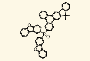 CC1(C)c2ccccc2-c2cc3c4ccccc4c4cc(P(=O)(c5ccc6oc7ccccc7c6c5)c5ccc6oc7ccccc7c6c5)ccc4c3cc21